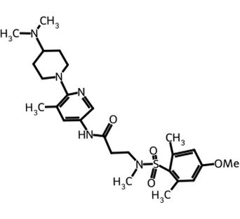 COc1cc(C)c(S(=O)(=O)N(C)CCC(=O)Nc2cnc(N3CCC(N(C)C)CC3)c(C)c2)c(C)c1